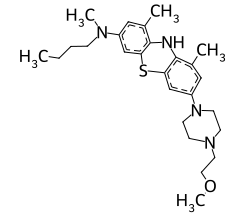 CCCCN(C)c1cc(C)c2c(c1)Sc1cc(N3CCN(CCOC)CC3)cc(C)c1N2